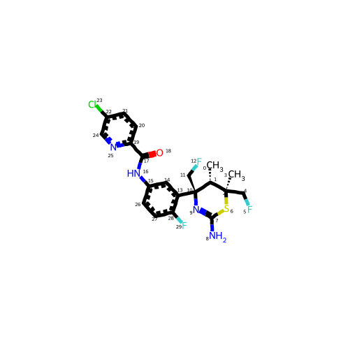 C[C@@H]1[C@@](C)(CF)SC(N)=N[C@]1(CF)c1cc(NC(=O)c2ccc(Cl)cn2)ccc1F